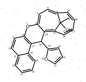 CC1(O)C2=CC=C3Oc4ccc5ccccc5c4C(c4ccco4)C3=C1C=CC=C2